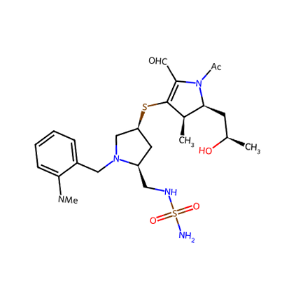 CNc1ccccc1CN1C[C@@H](SC2=C(C=O)N(C(C)=O)[C@@H](C[C@@H](C)O)[C@H]2C)C[C@H]1CNS(N)(=O)=O